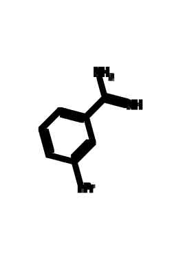 CCCc1cccc(C(=N)N)c1